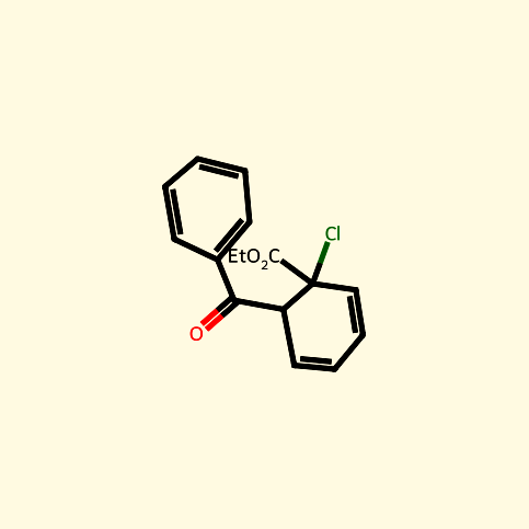 CCOC(=O)C1(Cl)C=CC=CC1C(=O)c1ccccc1